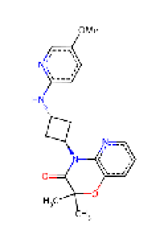 COc1ccc(N[C@H]2C[C@H](N3C(=O)C(C)(C)Oc4cccnc43)C2)nc1